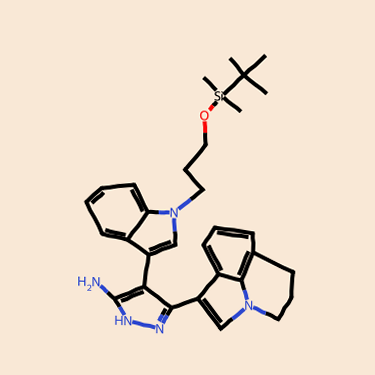 CC(C)(C)[Si](C)(C)OCCCn1cc(-c2c(-c3cn4c5c(cccc35)CCC4)n[nH]c2N)c2ccccc21